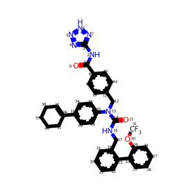 O=C(Nc1nn[nH]n1)c1ccc(CN(C(=O)NCc2ccccc2-c2ccccc2OC(F)(F)F)c2ccc(C3=CCCCC3)cc2)cc1